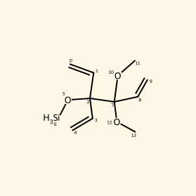 C=CC(C=C)(O[SiH3])C(C=C)(OC)OC